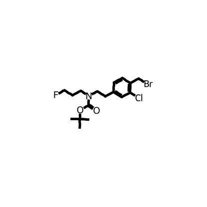 CC(C)(C)OC(=O)N(CCCF)CCc1ccc(CBr)c(Cl)c1